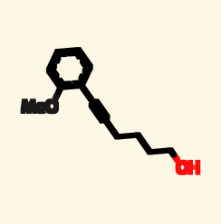 COc1ccccc1C#CCCCCO